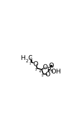 C=COCC1COP(=O)(O)O1